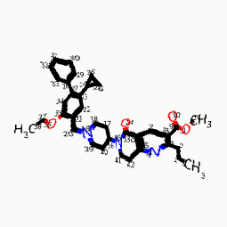 CCCc1nc2c(cc1C(=O)OC)C(=O)N(C1CCN(Cc3cc(C4CC4)c(-c4ccccc4)cc3OCC)CC1)CC2